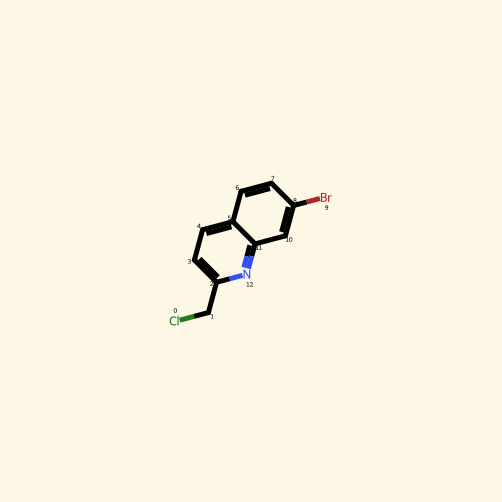 ClCc1ccc2ccc(Br)cc2n1